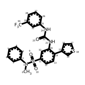 CN(c1ccccc1)S(=O)(=O)c1ccc(-c2ccsc2)c(NC(=O)Nc2cccc(C(F)(F)F)c2)c1